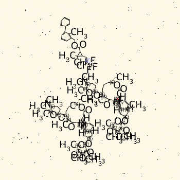 CC[C@H]1CCC[C@H](O[C@H]2CC[C@H](N(C)C)[C@@H](C)O2)[C@@H](C)C(=O)C2=C[C@@H]3[C@@H](C=C(C)[C@@H]4C[C@@H](O[C@@H]5O[C@@H](C)[C@H](OC)[C@@H](OC)[C@H]5OC)C[C@@H]34)[C@@H]2CC(=O)O1.CC[C@H]1CCC[C@H](O[C@H]2CC[C@H](N(C)C)[C@@H](C)O2)[C@@H](C)C(=O)C2=C[C@@H]3[C@@H](C=C[C@@H]4C[C@@H](O[C@@H]5O[C@@H](C)[C@H](OC)[C@@H](OC)[C@H]5OC)C[C@@H]34)[C@@H]2CC(=O)O1.Cc1c(COC(=O)C2C(/C=C(\Cl)C(F)(F)F)C2(C)C)cccc1-c1ccccc1